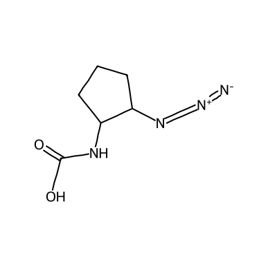 [N-]=[N+]=NC1CCCC1NC(=O)O